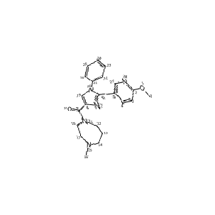 COc1ccc(-c2nc(C(=O)N3CCCN(C)CC3)cn2-c2ccccc2)cn1